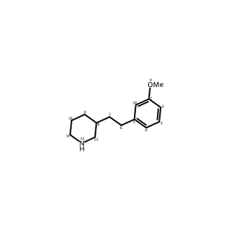 COc1cccc(CCC2CCCNC2)c1